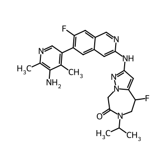 Cc1ncc(-c2cc3cc(Nc4cc5n(n4)CC(=O)N(C(C)C)CC5F)ncc3cc2F)c(C)c1N